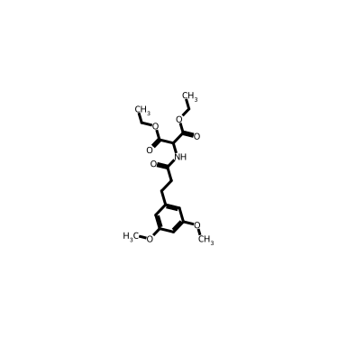 CCOC(=O)C(NC(=O)CCc1cc(OC)cc(OC)c1)C(=O)OCC